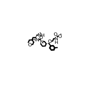 CNC[C@H](CC1CCOCC1)NC(=O)N1CCC[C@@H](C(OCCNC(=O)OC)c2cccc(C)c2)C1